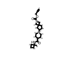 C#CCOC(=O)N1CC2(CCC(N3CCC(C(=O)NC4(C)CCC4)CC3)C2)C1